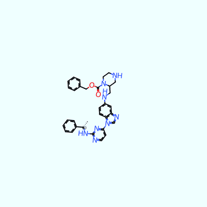 C[C@H](Nc1nccc(-n2cnc3cc(NCC4CNCCN4C(=O)OCc4ccccc4)ccc32)n1)c1ccccc1